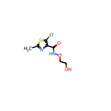 Cc1nc(C(=O)NOCCO)c(Cl)s1